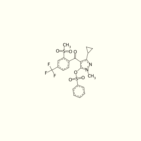 Cn1nc(C2CC2)c(C(=O)c2ccc(C(F)(F)F)cc2S(C)(=O)=O)c1OS(=O)(=O)c1ccccc1